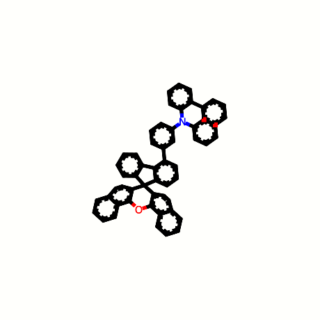 c1ccc(-c2ccccc2N(c2ccccc2)c2cccc(-c3cccc4c3-c3ccccc3C43c4ccc5ccccc5c4Oc4c3ccc3ccccc43)c2)cc1